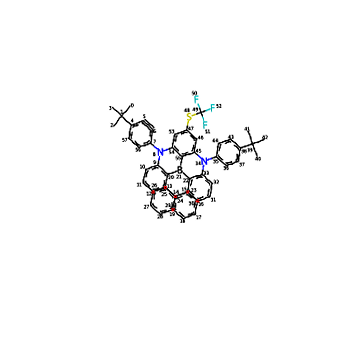 CC(C)(C)c1c#cc(N2c3cccc(-c4ccccc4)c3B3c4c(-c5ccccc5)cccc4N(c4ccc(C(C)(C)C)cc4)c4cc(SC(F)(F)F)cc2c43)cc1